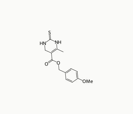 COc1ccc(COC(=O)C2=C(C)NC(=S)NC2)cc1